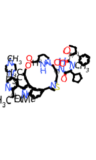 CCn1c(-c2cc(N3CCN(C)CC3)cnc2[C@H](C)OC)c2c3cc(ccc31)-c1csc(n1)C[C@H](NC(=O)C(C1CCCC1)N(C)C(=O)[C@@H]1OCC[C@@H]1c1ccccc1)C(=O)N1CCC[C@H](N1)C(=O)OCC(C)(C)C2